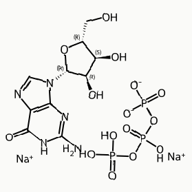 Nc1nc2c(ncn2[C@@H]2O[C@H](CO)[C@@H](O)[C@H]2O)c(=O)[nH]1.O=P([O-])([O-])OP(=O)(O)OP(=O)(O)O.[Na+].[Na+]